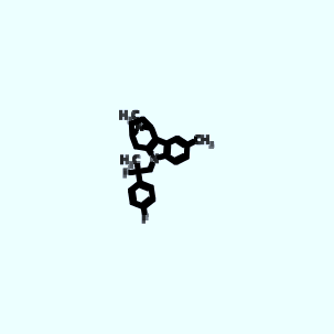 Cc1ccc2c(c1)c1c(n2CC(C)(F)c2ccc(F)cc2)CC2CCC1N2C